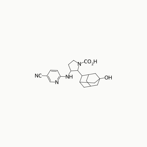 N#Cc1ccc(NC2CCN(C(=O)O)C2C2C3CC4CC2CC(O)(C4)C3)nc1